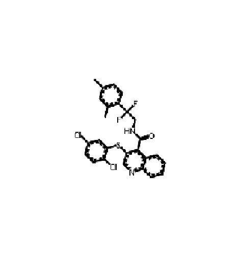 Cc1ccc(C(F)(F)CNC(=O)c2c(Sc3cc(Cl)ccc3Cl)cnc3ccccc23)c(C)c1